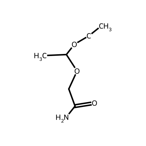 CCOC(C)OCC(N)=O